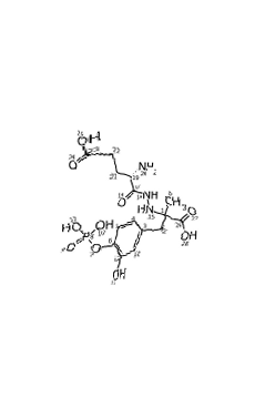 CC(Cc1ccc(OP(=O)(O)O)c(O)c1)(NNC(=O)[C@@H](N)CCC(=O)O)C(=O)O